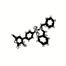 Cc1cc(-c2ccc(S(=O)(=O)N(Cc3ccccc3)Cc3ccccc3)cc2)c(Br)c(=O)o1